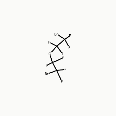 FC(F)(Br)C(F)(I)OC(F)(I)C(F)(F)Br